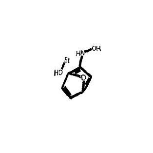 CCO.ONc1cc2ccc1o2